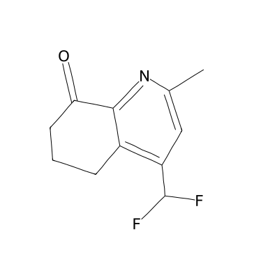 Cc1cc(C(F)F)c2c(n1)C(=O)CCC2